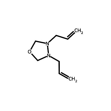 C=CCN1COCN1CC=C